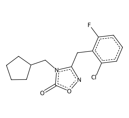 O=c1onc(Cc2c(F)cccc2Cl)n1CC1CCCC1